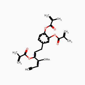 C#C/C=C(OC)\C(=C/Cc1ccc(OC(=O)C(=C)C)c(OC(=O)C(=C)C)c1)OC(=O)C(=C)C